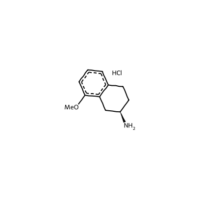 COc1cccc2c1C[C@H](N)CC2.Cl